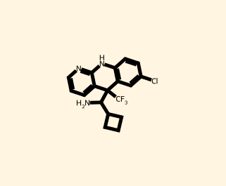 NC(C1CCC1)C1(C(F)(F)F)c2cc(Cl)ccc2Nc2ncccc21